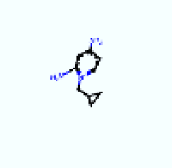 Nc1cc[n+](CC2CC2)c(N)c1